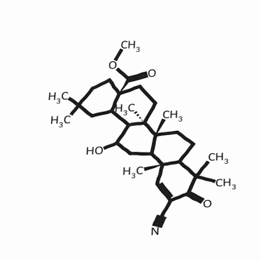 COC(=O)[C@]12CCC(C)(C)CC1C1C(O)CC3[C@@]4(C)C=C(C#N)C(=O)C(C)(C)C4CC[C@@]3(C)[C@]1(C)CC2